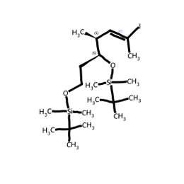 C/C(I)=C\[C@H](C)[C@H](CCO[Si](C)(C)C(C)(C)C)O[Si](C)(C)C(C)(C)C